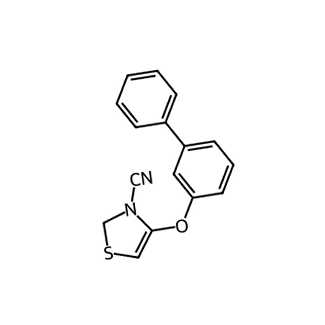 N#CN1CSC=C1Oc1cccc(-c2ccccc2)c1